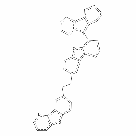 c1cnc2c(c1)oc1ccc(CCc3ccc4oc5c(-n6c7ccccc7c7ccccc76)cccc5c4c3)cc12